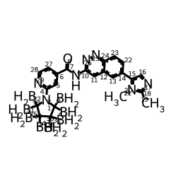 BC1(B)N(c2cc(C(=O)Nc3cc4cc(-c5cnc(C)n5C)ccc4nn3)ccn2)C(B)(B)C(B)(B)C1(B)B